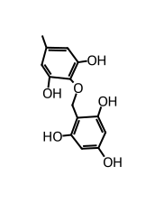 Cc1cc(O)c(OCc2c(O)cc(O)cc2O)c(O)c1